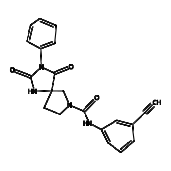 C#Cc1cccc(NC(=O)N2CCC3(C2)NC(=O)N(c2ccccc2)C3=O)c1